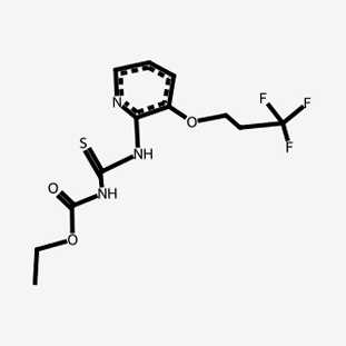 CCOC(=O)NC(=S)Nc1ncccc1OCCC(F)(F)F